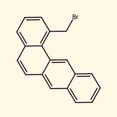 BrCc1cccc2ccc3cc4ccccc4cc3c12